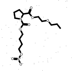 CCCOCCOC(=O)C1CCCN1C(=O)OCCCCO[N+](=O)[O-]